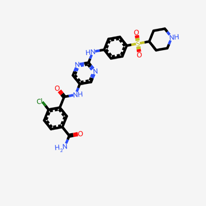 NC(=O)c1ccc(Cl)c(C(=O)Nc2cnc(Nc3ccc(S(=O)(=O)C4CCNCC4)cc3)nc2)c1